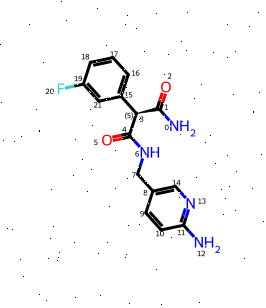 NC(=O)[C@@H](C(=O)NCc1ccc(N)nc1)c1cccc(F)c1